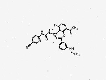 CCNc1cccc(C(=O)Oc2c(C(C)=O)ccc(F)c2[C@H]2C[C@H]2NC(=O)Nc2ccc(C#N)cn2)c1